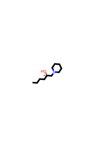 CCCC[C@@H](O)CN1CCCCC1